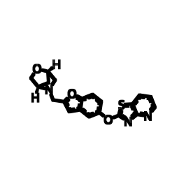 c1cnc2nc(Oc3ccc4oc(CN5C[C@@H]6C[C@H]5CO6)cc4c3)sc2c1